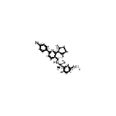 C[C@@H]1CC[C@H](C)C1c1nc(-c2ccc(F)cc2)ccc1CNS(=O)(=O)c1cccc(N)n1